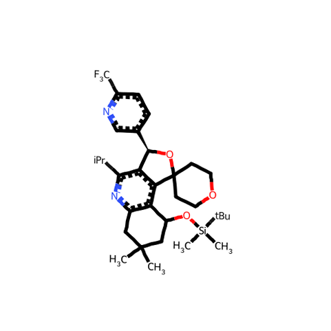 CC(C)c1nc2c(c3c1[C@@H](c1ccc(C(F)(F)F)nc1)OC31CCOCC1)C(O[Si](C)(C)C(C)(C)C)CC(C)(C)C2